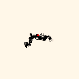 Cc1c(Nc2nccc3cc(CN4CC[C@@H](O)C4)cnc23)cccc1-c1cccc(-c2nc3cc4c(c(C#N)c3o2)CC[C@H]4N2CC[C@@H](C(=O)NS(=O)(=O)C3CC3)C2)c1C